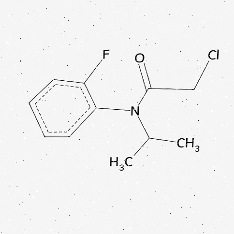 CC(C)N(C(=O)CCl)c1ccccc1F